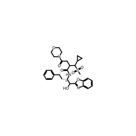 CS(=O)(=O)C(C1CC1)C(CC(=O)N1CCOCC1)C(=O)N[C@@H](CCc1ccccc1)C(O)c1nc2ccccc2o1